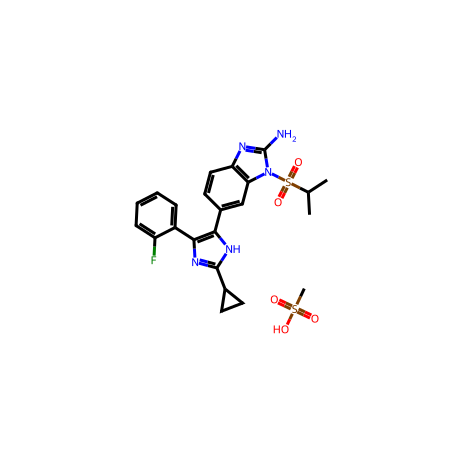 CC(C)S(=O)(=O)n1c(N)nc2ccc(-c3[nH]c(C4CC4)nc3-c3ccccc3F)cc21.CS(=O)(=O)O